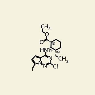 CCOC(=O)[C@H]1CCC[C@H](CC)[C@@H]1Nc1nc(Cl)nn2c(I)ccc12